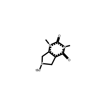 Cn1c2c(c(=O)n(C)c1=O)CN(C(C)(C)C)C2